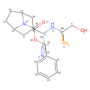 N#C[C@@H](N[C@H](P)CO)C1CC2CCC(C1)N2C(=O)OCc1ccccc1